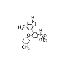 CCS(=O)(=O)Nc1ccc(O[C@H]2CC[C@H](C)CC2)c(-c2cc(C)nc3[nH]ccc23)c1